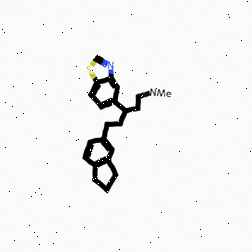 CNCCC(CCc1ccc2c(c1)CCC2)c1ccc2scnc2c1